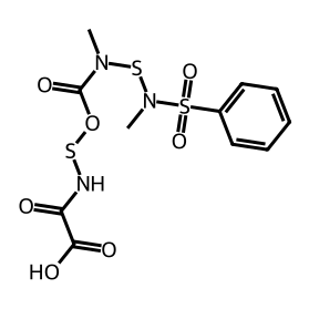 CN(SN(C)S(=O)(=O)c1ccccc1)C(=O)OSNC(=O)C(=O)O